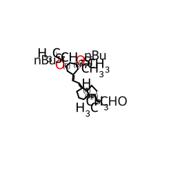 CCCC[Si](C)(C)O[C@@H]1CC(=CC=C2CCC[C@]3(C)[C@@H]([C@H](C)C=O)CC[C@@H]23)C[C@@H](O[Si](C)(C)CCCC)C1